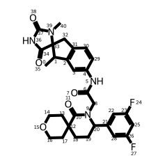 CC1c2cc(NC(=O)CN3C(=O)C4(CCOCC4)CCC3c3cc(F)cc(F)c3)ccc2CC12C(=O)NC(=O)N2C